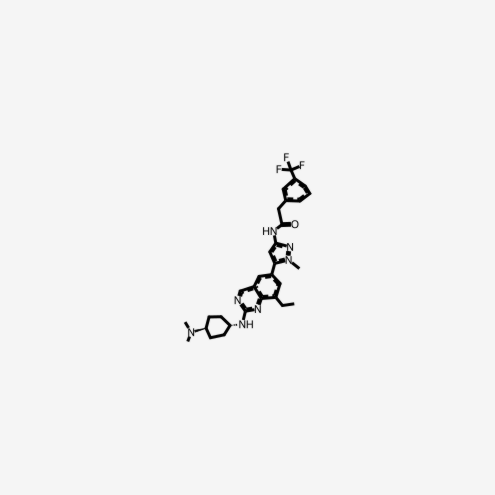 CCc1cc(-c2cc(NC(=O)Cc3cccc(C(F)(F)F)c3)nn2C)cc2cnc(N[C@H]3CC[C@H](N(C)C)CC3)nc12